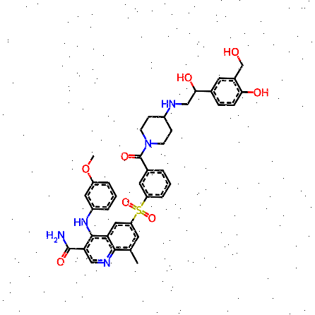 COc1cccc(Nc2c(C(N)=O)cnc3c(C)cc(S(=O)(=O)c4cccc(C(=O)N5CCC(NCC(O)c6ccc(O)c(CO)c6)CC5)c4)cc23)c1